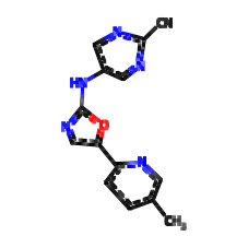 Cc1ccc(-c2cnc(Nc3cnc(C#N)nc3)o2)nc1